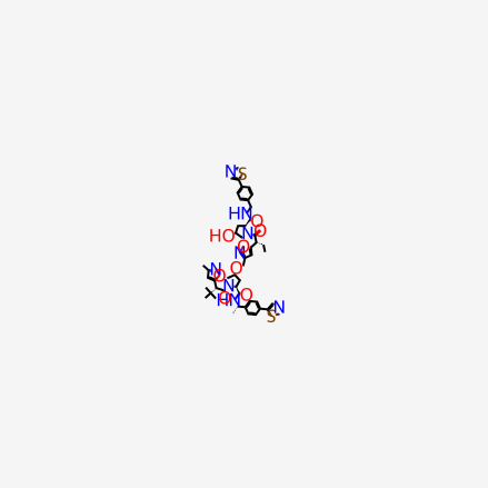 CC[C@@H](C(=O)N1C[C@H](O)C[C@H]1C(=O)NCc1ccc(-c2cncs2)cc1)c1cc(CO[C@@H]2C[C@@H](C(=O)N[C@@H](C)c3ccc(-c4cncs4)cc3)N(C(=O)[C@@H](c3cc(C)no3)C(C)(C)C)C2)no1